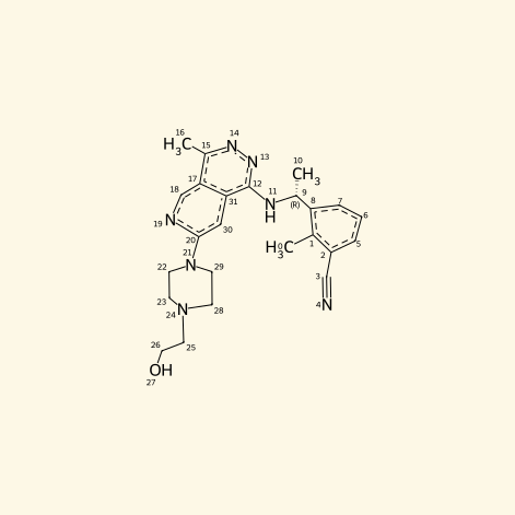 Cc1c(C#N)cccc1[C@@H](C)Nc1nnc(C)c2cnc(N3CCN(CCO)CC3)cc12